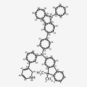 CC1(C)c2ccccc2-c2ccc(N(c3ccc(-c4ccc5c(c4)c4ccccc4n5-c4ccccc4)cc3)c3cccc(C4=CC=CNC4)c3)cc21